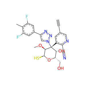 C#Cc1cnc(C#N)c([C@@]2(n3cc(-c4cc(F)c(C)c(F)c4)nn3)[C@H](O)[C@H](CO)O[C@@H](S)[C@H]2OC)c1